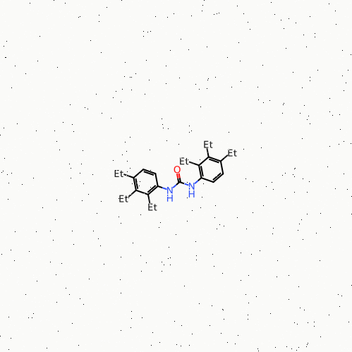 CCc1ccc(NC(=O)Nc2ccc(CC)c(CC)c2CC)c(CC)c1CC